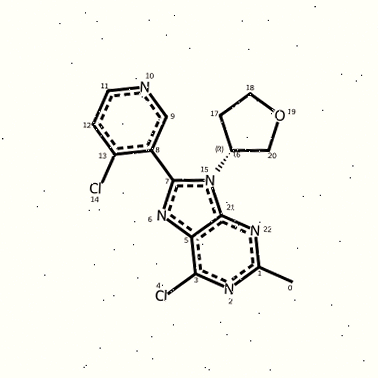 Cc1nc(Cl)c2nc(-c3cnccc3Cl)n([C@@H]3CCOC3)c2n1